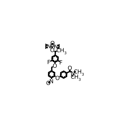 CC(OP(=O)(N1CC1)N1CC1)c1cc(F)c(OCc2ccc(N=O)c(Oc3ccc(C(=O)N(C)C)cc3)c2)c(F)c1